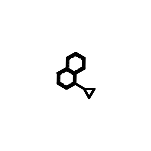 [c]1ccc(C2CC2)c2ccccc12